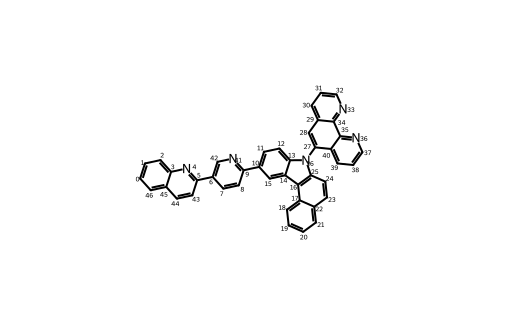 c1ccc2nc(-c3ccc(-c4ccc5c(c4)c4c6ccccc6ccc4n5-c4cc5cccnc5c5ncccc45)nc3)ccc2c1